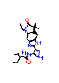 CCC(CC)C(=O)Nc1c[nH]nc1-c1nc2cc3c(cc2[nH]1)C(C)(C)C(=O)N3CC